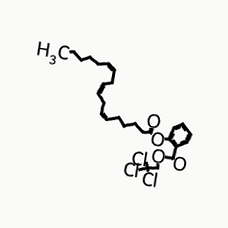 CCCCC/C=C\C/C=C\C/C=C\CCCCC(=O)Oc1ccccc1C(=O)OCC(Cl)(Cl)Cl